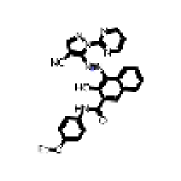 CCOc1ccc(NC(=O)c2cc3ccccc3c(/N=N/c3c(C#N)cnn3-c3ncccn3)c2O)cc1